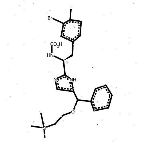 C[Si](C)(C)CCOC(c1ccccc1)c1cnc([C@H](Cc2ccc(I)c(Br)c2)NC(=O)O)[nH]1